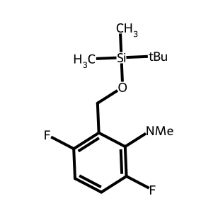 CNc1c(F)ccc(F)c1CO[Si](C)(C)C(C)(C)C